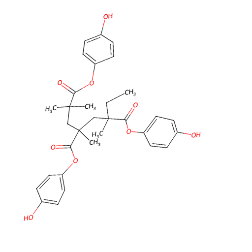 CCC(C)(CC(C)(CC(C)(C)C(=O)Oc1ccc(O)cc1)C(=O)Oc1ccc(O)cc1)C(=O)Oc1ccc(O)cc1